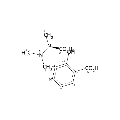 C[C@@H](C(=O)O)N(C)C.O=C(O)c1ccccc1O